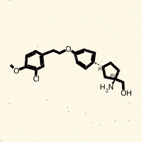 COc1ccc(CCOc2ccc([C@@H]3CC[C@](N)(CO)C3)cc2)cc1Cl